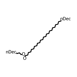 CCCCCCCCCCCCCCCCCCCCCCCCCCCCCCCCCC(=O)OCCCCCCCCCCCCC